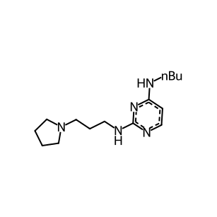 CCCCNc1ccnc(NCCCN2CCCC2)n1